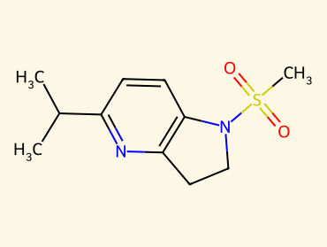 CC(C)c1ccc2c(n1)CCN2S(C)(=O)=O